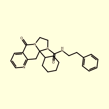 O=C(NCCc1ccccc1)N1CCN2C(=O)c3cccnc3CC12C1CCCCC1